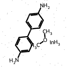 COC.Nc1ccc(-c2ccc(N)cc2)cc1.[InH3]